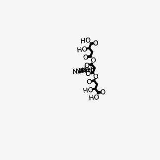 O=C(CC(=O)OC(=O)CC(O)C(=O)O)OC(=O)CC(O)C(=O)O.[NaH].[NaH].[NaH].[NaH]